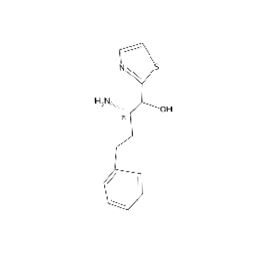 N[C@@H](CCc1ccccc1)C(O)c1nccs1